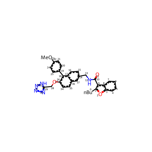 CCCCc1oc2ccccc2c1C(=O)NCc1ccc2c(-c3ccc(OC)cc3)c(OCc3nnn[nH]3)ccc2c1